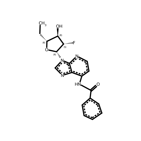 CC[C@H]1O[C@@H](n2cnc3c(NC(=O)c4ccccc4)ccnc32)[C@@H](F)[C@@H]1O